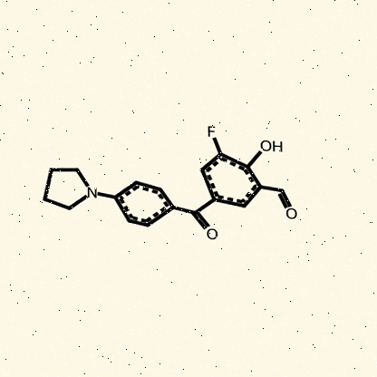 O=Cc1cc(C(=O)c2ccc(N3CCCC3)cc2)cc(F)c1O